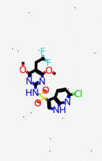 COc1nc(NS(=O)(=O)c2c[nH]c3nc(Cl)ccc23)nc(OC)c1CC(F)F